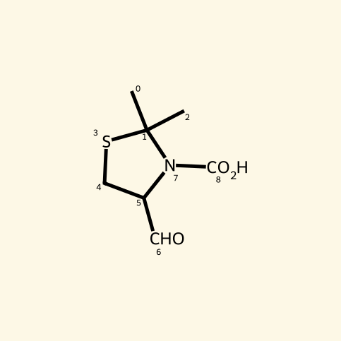 CC1(C)SCC(C=O)N1C(=O)O